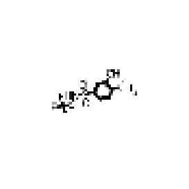 Cc1ccc(S(=O)(=O)NSC(F)(F)F)cc1C